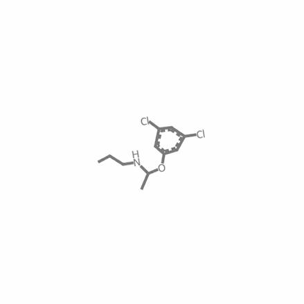 CCCNC(C)Oc1cc(Cl)cc(Cl)c1